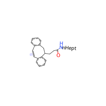 CCCCCCCNC(=O)CCC1Cc2ccccc2/C=C\c2ccccc21